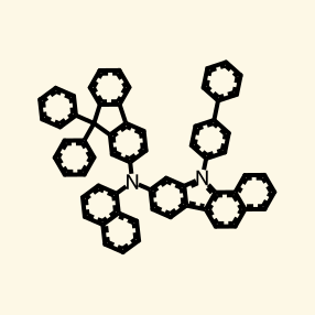 c1ccc(-c2ccc(-n3c4cc(N(c5ccc6c(c5)C(c5ccccc5)(c5ccccc5)c5ccccc5-6)c5cccc6ccccc56)ccc4c4ccc5ccccc5c43)cc2)cc1